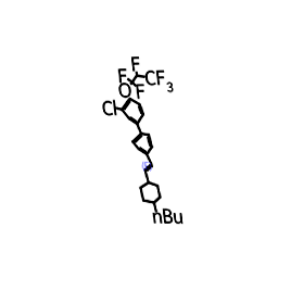 CCCCC1CCC(/C=C/c2ccc(-c3ccc(OC(F)(F)C(F)C(F)(F)F)c(Cl)c3)cc2)CC1